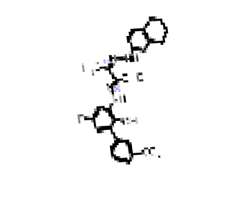 CC(=N/Nc1ccc2c(c1)CCCC2)/C(C=O)=N/Nc1cc(F)cc(-c2cccc(C(=O)O)c2)c1O